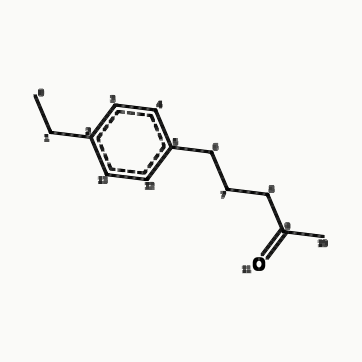 CCc1ccc(CCCC(C)=O)cc1